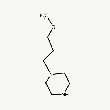 FC(F)(F)OCCCN1CCNCC1